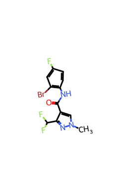 Cn1cc(C(=O)Nc2ccc(F)cc2Br)c(C(F)F)n1